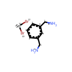 NCc1cccc(CN)c1.[Br][Sn][Br]